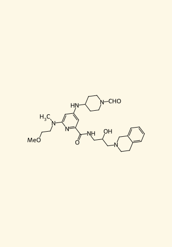 COCCN(C)c1cc(NC2CCN(C=O)CC2)cc(C(=O)NCC(O)CN2CCc3ccccc3C2)n1